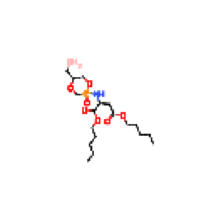 BCC1COP(=O)(N[C@@H](CC(=O)OCCCCC)C(=O)OCCCCC)CO1